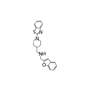 c1ccc2oc(CNCC3CCN(c4nc5ccccc5s4)CC3)cc2c1